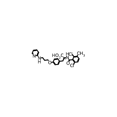 Cc1ccc(Cl)c(C(=O)N[C@@H](Cc2ccc(OCCCNc3ccccn3)cc2)C(=O)O)c1Cl